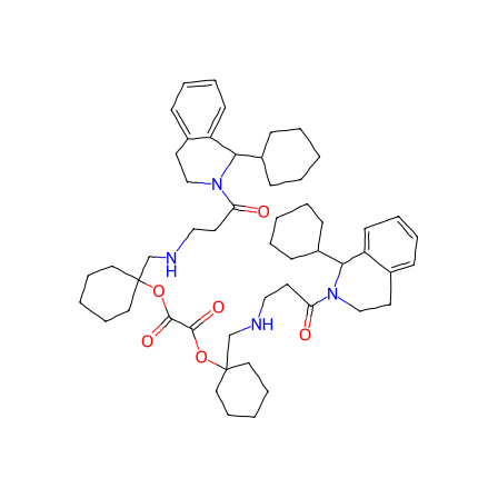 O=C(OC1(CNCCC(=O)N2CCc3ccccc3C2C2CCCCC2)CCCCC1)C(=O)OC1(CNCCC(=O)N2CCc3ccccc3C2C2CCCCC2)CCCCC1